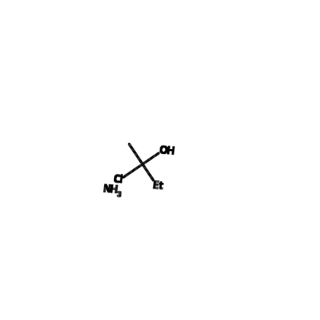 CCC(C)(O)Cl.N